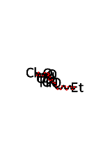 CC/C=C\C/C=C\C/C=C\C/C=C\C/C=C\C/C=C\CCC(=O)NCC(CNC(=O)C(C)(C)Oc1ccc(C(=O)c2ccc(Cl)cc2)cc1)N1CCOCC1